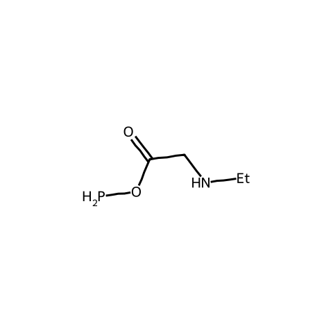 CCNCC(=O)OP